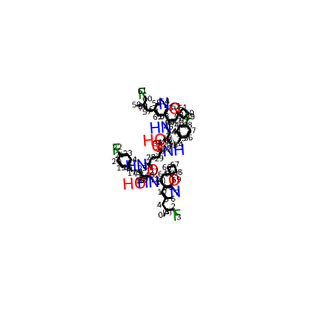 C[C@H](CF)Cc1cnc2c(c1)[C@@H](NC[C@H](O)[C@H](Cc1ccc(F)cc1)NC(=O)CCC(=O)N[C@@H](Cc1ccc(F)cc1)[C@@H](O)CN[C@H]1CC3(CCC3)Oc3ncc(C[C@@H](C)CF)cc31)CC1(CCC1)O2